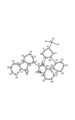 CC(C)(C)c1ccc(-n2c(-c3cccc4c3oc3ccccc34)nc3ccccc32)c(-c2ccccc2)c1